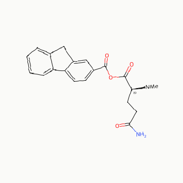 CN[C@@H](CCC(N)=O)C(=O)OC(=O)c1ccc2c(c1)Cc1ccccc1-2